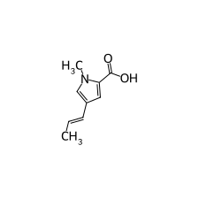 C/C=C/c1cc(C(=O)O)n(C)c1